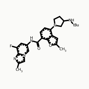 Cc1cn2cc(NC(=O)c3ccc(N4CCC(NC(C)(C)C)C4)c4cc(C)oc34)cc(F)c2n1